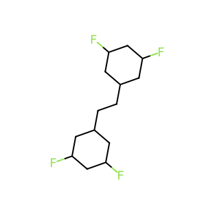 FC1CC(F)CC(CCC2CC(F)CC(F)C2)C1